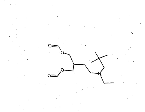 CCN(CCC(COC=O)COC=O)CC(C)(C)C